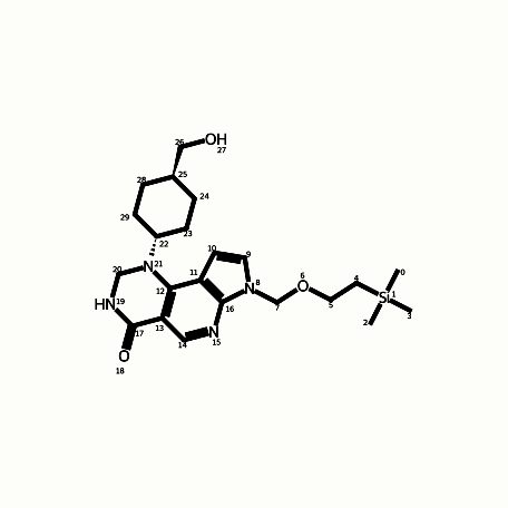 C[Si](C)(C)CCOCn1ccc2c3c(cnc21)C(=O)NCN3[C@H]1CC[C@H](CO)CC1